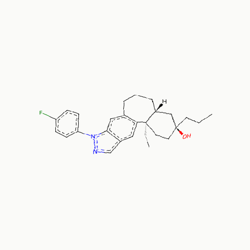 CCC[C@]1(O)CC[C@@]2(CC)c3cc4cnn(-c5ccc(F)cc5)c4cc3CCC[C@@H]2C1